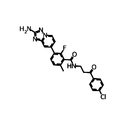 Cc1ccc(-c2ccn3nc(N)nc3c2)c(F)c1C(=O)NCCC(=O)c1ccc(Cl)cc1